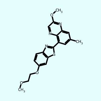 COCCOc1ccc2nc(-c3cc(C)cc4nc(OC)cnc34)sc2c1